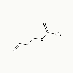 C=CCCOC(=O)C(F)(F)F